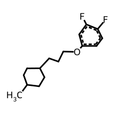 CC1CCC(CCCOc2ccc(F)c(F)c2)CC1